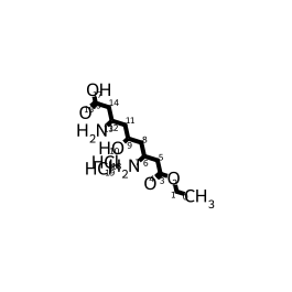 CCOC(=O)CC(N)CC(O)CC(N)CC(=O)O.Cl.Cl